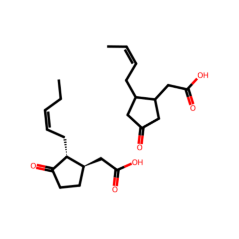 C/C=C\CC1CC(=O)CC1CC(=O)O.CC/C=C\C[C@H]1C(=O)CC[C@@H]1CC(=O)O